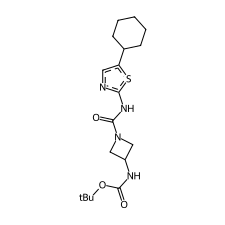 CC(C)(C)OC(=O)NC1CN(C(=O)Nc2ncc(C3CCCCC3)s2)C1